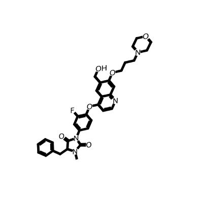 CN1C(=O)N(c2ccc(Oc3ccnc4cc(OCCCN5CCOCC5)c(CO)cc34)c(F)c2)C(=O)C1Cc1ccccc1